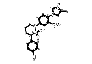 COc1cc(N2CCCC(c3ccc(Cl)cc3)S2(=O)=O)ccc1-n1cnc(C)c1